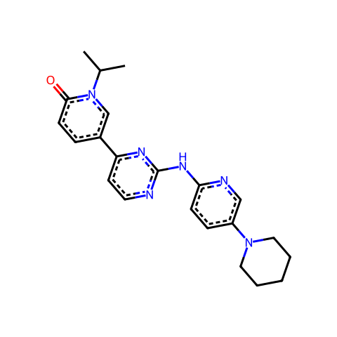 CC(C)n1cc(-c2ccnc(Nc3ccc(N4CCCCC4)cn3)n2)ccc1=O